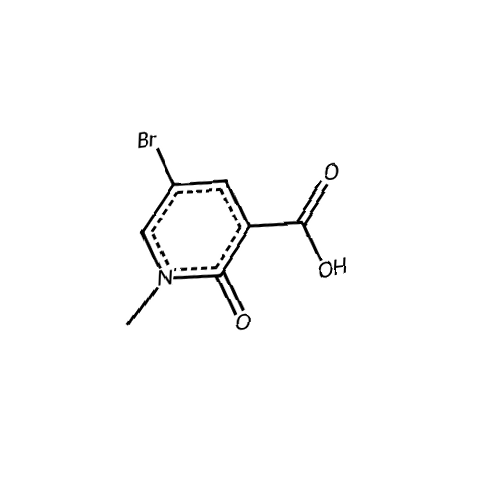 Cn1cc(Br)cc(C(=O)O)c1=O